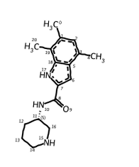 Cc1cc(C)c2cc(C(=O)N[C@H]3CCCNC3)[nH]c2c1C